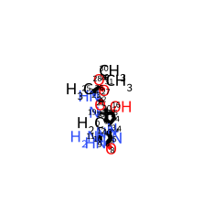 C=C1[C@@H](n2cnc3c(=O)[nH]c(N)nc32)C[C@H](O)[C@@]1(C#N)COCN[C@@H](C)C(=O)OC(C)C